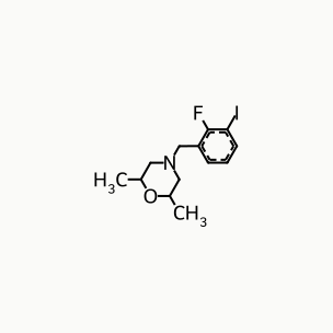 CC1CN(Cc2cccc(I)c2F)CC(C)O1